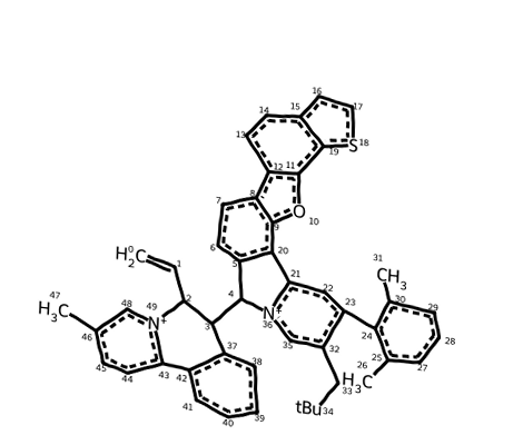 C=CC1C(C2c3ccc4c(oc5c4ccc4ccsc45)c3-c3cc(-c4c(C)cccc4C)c(CC(C)(C)C)c[n+]32)c2ccccc2-c2ccc(C)c[n+]21